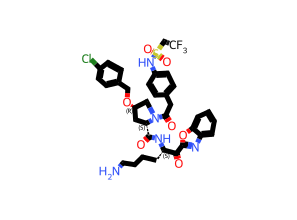 NCCCC[C@H](NC(=O)[C@@H]1C[C@@H](OCc2ccc(Cl)cc2)CN1C(=O)Cc1ccc(NS(=O)(=O)CC(F)(F)F)cc1)C(=O)c1nc2ccccc2o1